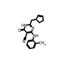 Cc1ccccc1Nc1nc(CC2C=CCC2)[nH]c(=O)c1C#N